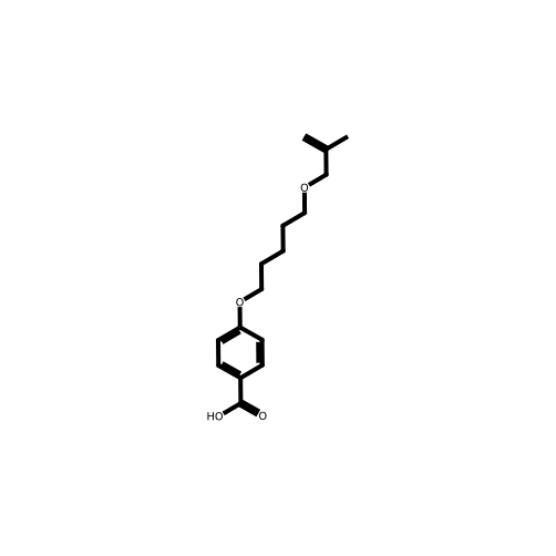 C=C(C)COCCCCCOc1ccc(C(=O)O)cc1